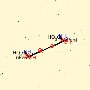 CCCCCC(O)C(CCCCCCCCCCCOCCCCCCCCCCOC(=O)CCCCCCCCCCC(O)C(CCCCC)OC(=O)CC[C@@H](N)C(=O)O)OC(=O)CC[C@H](N)C(=O)O